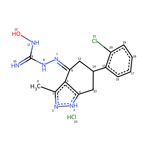 Cc1n[nH]c2c1/C(=N\NC(=N)NO)CC(c1ccccc1Cl)C2.Cl